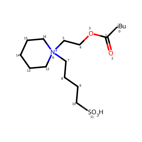 CCC(C)C(=O)OCC[N+]1(CCCCS(=O)(=O)O)CCCCC1